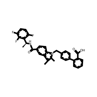 Cc1c(C)n(Cc2ccc(-c3ccccc3C(=O)O)cc2)c2ccc(C(=O)N[C@@H](C)c3c(F)ccc(F)c3F)cc12